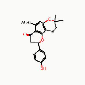 COc1cc2c(c3c1C(=O)CC(c1ccc(O)cc1)O3)CCC(C)(C)O2